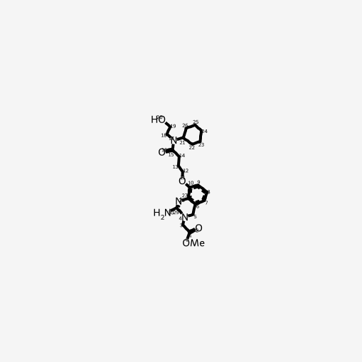 COC(=O)CN1Cc2cccc(OCCCC(=O)N(CCO)C3CCCCC3)c2N=C1N